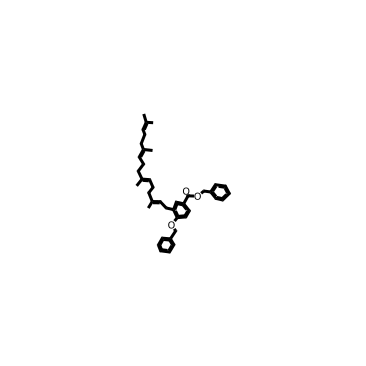 CC(C)=CCC/C(C)=C/CC/C(C)=C/CC/C(C)=C/Cc1cc(C(=O)OCc2ccccc2)ccc1OCc1ccccc1